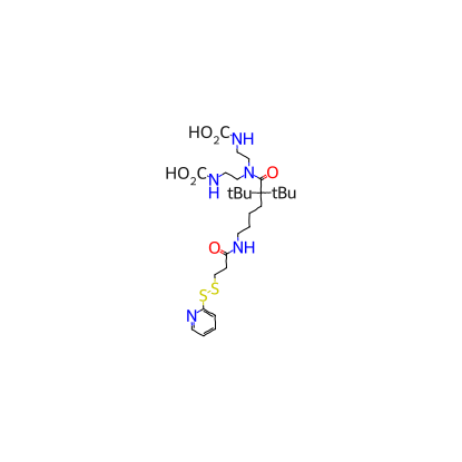 CC(C)(C)C(CCCCNC(=O)CCSSc1ccccn1)(C(=O)N(CCNC(=O)O)CCNC(=O)O)C(C)(C)C